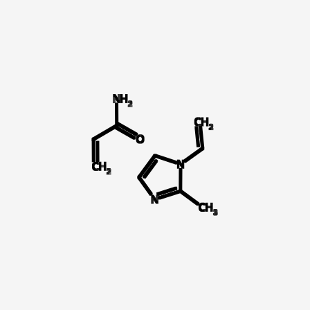 C=CC(N)=O.C=Cn1ccnc1C